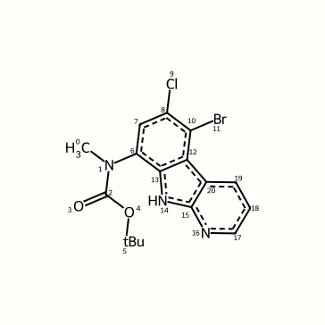 CN(C(=O)OC(C)(C)C)c1cc(Cl)c(Br)c2c1[nH]c1ncccc12